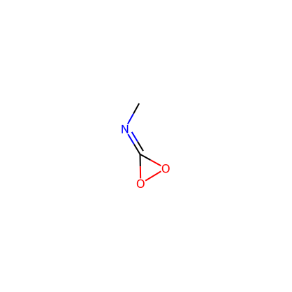 CN=C1OO1